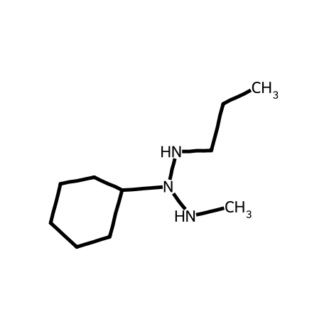 CCCNN(NC)C1CCCCC1